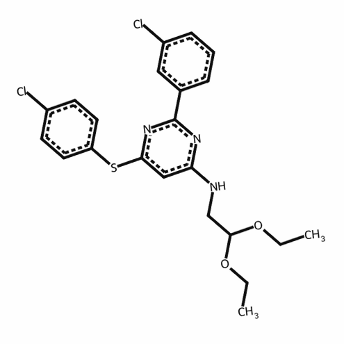 CCOC(CNc1cc(Sc2ccc(Cl)cc2)nc(-c2cccc(Cl)c2)n1)OCC